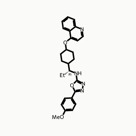 CC[C@@H](Nc1nnc(-c2ccc(OC)cc2)o1)C1CCC(Oc2ccnc3ccccc23)CC1